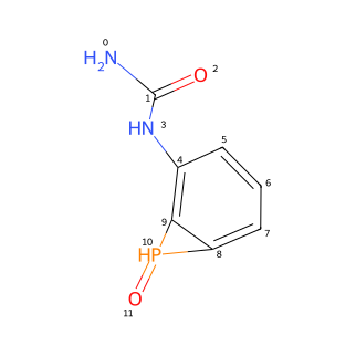 NC(=O)Nc1cccc2c1[PH]2=O